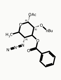 CCCCO[C@@H]1C(OC(=O)c2ccccc2)[C@H](N=[N+]=[N-])C(C)O[C@@H]1OC(C)=O